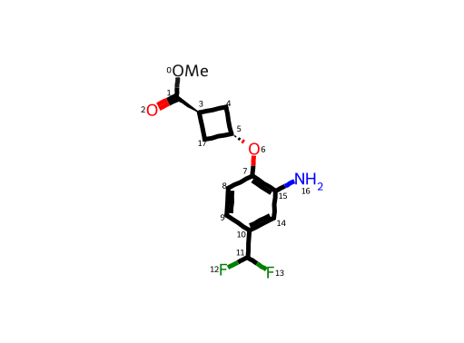 COC(=O)[C@H]1C[C@H](Oc2ccc(C(F)F)cc2N)C1